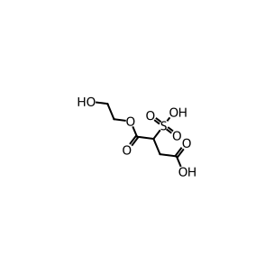 O=C(O)CC(C(=O)OCCO)S(=O)(=O)O